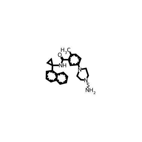 Cc1ccc(N2CCN(SN)CC2)cc1C(=O)NC1(c2cccc3ccccc23)CC1